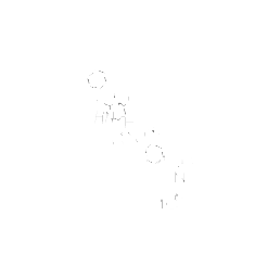 O=C(NCc1ccc(C(=O)N2CC[C@H](O)C2)cc1OC(F)(F)F)c1cc(=O)n(Cc2ccccc2)c(=O)[nH]1